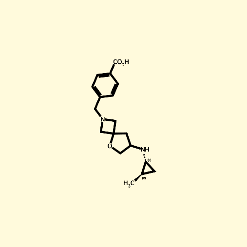 C[C@@H]1C[C@H]1NC1COC2(C1)CN(Cc1ccc(C(=O)O)cc1)C2